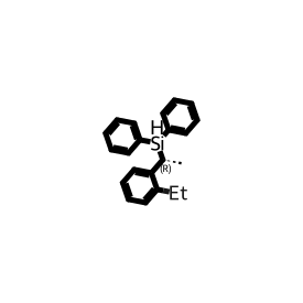 CCc1ccccc1[C@@H](C)[SiH](c1ccccc1)c1ccccc1